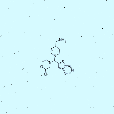 NCC1CCN(C(c2cc3ncncc3s2)N2CCOC(Cl)C2)CC1